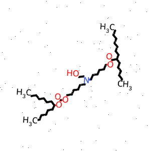 CCCCCCCCC(CCCCCC)C(=O)OCCCCCCN(CCO)CCCCCCOC(=O)OC(CCCCCC)CCCCCCC